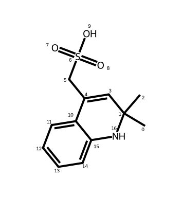 CC1(C)C=C(CS(=O)(=O)O)c2ccccc2N1